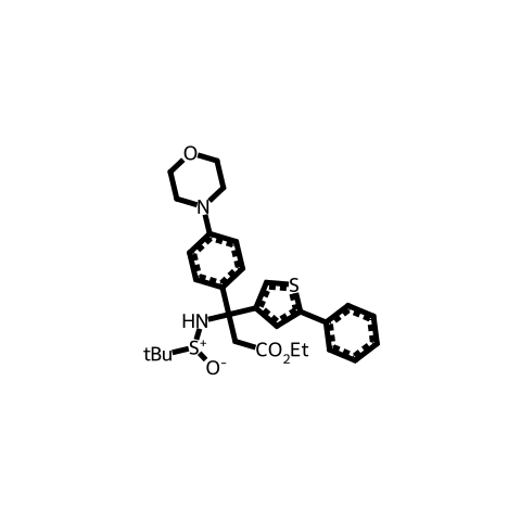 CCOC(=O)CC(N[S+]([O-])C(C)(C)C)(c1ccc(N2CCOCC2)cc1)c1csc(-c2ccccc2)c1